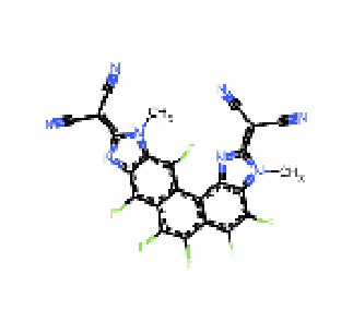 Cn1c(=C(C#N)C#N)nc2c(F)c3c(F)c(F)c4c(F)c(F)c5c(nc(=C(C#N)C#N)n5C)c4c3c(F)c21